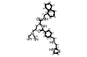 CC(C)CN(CCC[C@H](NC(=O)c1ccc(CNCc2ncc[nH]2)cc1)C(=O)NCc1cccc2ccccc12)CC(C)C